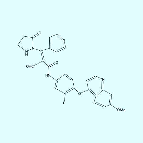 COc1ccc2c(Oc3ccc(NC(=O)/C(C=O)=C(\c4ccncc4)N4NCCC4=O)cc3F)ccnc2c1